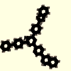 C1=C(c2ccc(-c3cnc4ccccc4c3)cc2)N=C(c2ccc(-c3ccccc3)cc2)NC1c1ccc(-c2nc3ccccc3s2)cc1